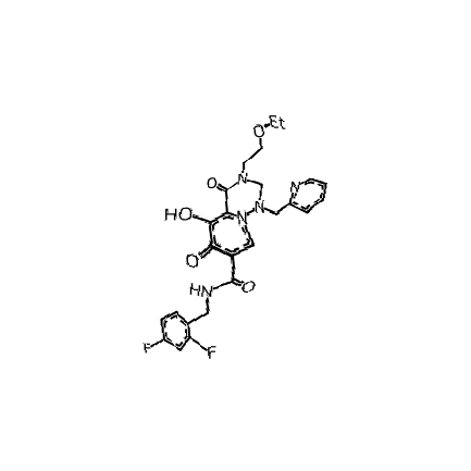 CCOCCN1CN(Cc2ccccn2)n2cc(C(=O)NCc3ccc(F)cc3F)c(=O)c(O)c2C1=O